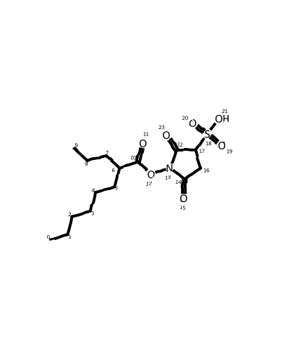 CCCCCCC(CCC)C(=O)ON1C(=O)CC(S(=O)(=O)O)C1=O